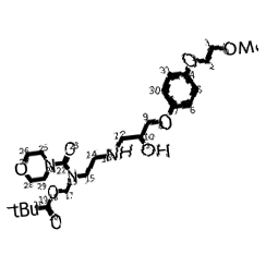 COCCOc1ccc(OCC(O)CNCCN(COC(=O)C(C)(C)C)C(=O)N2CCOCC2)cc1